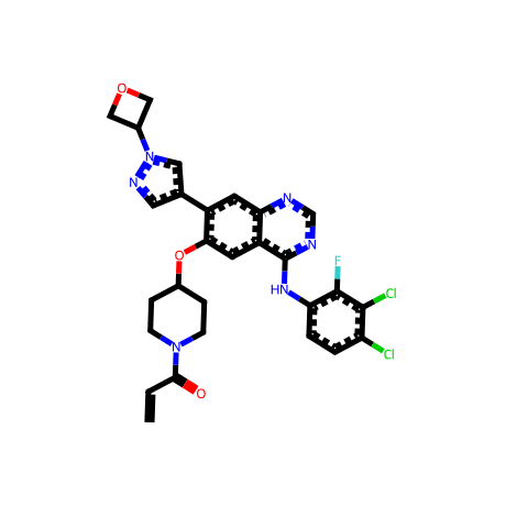 C=CC(=O)N1CCC(Oc2cc3c(Nc4ccc(Cl)c(Cl)c4F)ncnc3cc2-c2cnn(C3COC3)c2)CC1